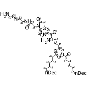 CCCCCCCCCCCCCCCC(=O)OCC(CSCC(N)C(=O)C(N)SC1CC(=O)N(CCC(=O)NCC=NOCN)C1=O)OC(=O)CCCCCCCCCCCCCCC